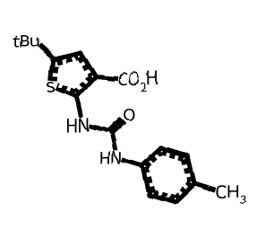 Cc1ccc(NC(=O)Nc2sc(C(C)(C)C)cc2C(=O)O)cc1